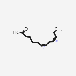 CC/C=C\C/C=C\CCCCC(=O)O